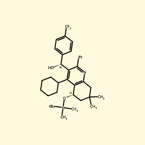 CC(C)c1nc2c(c(C3CCCCC3)c1[C@H](O)c1ccc(C(F)(F)F)cc1)[C@@H](O[Si](C)(C)C(C)(C)C)CC(C)(C)C2